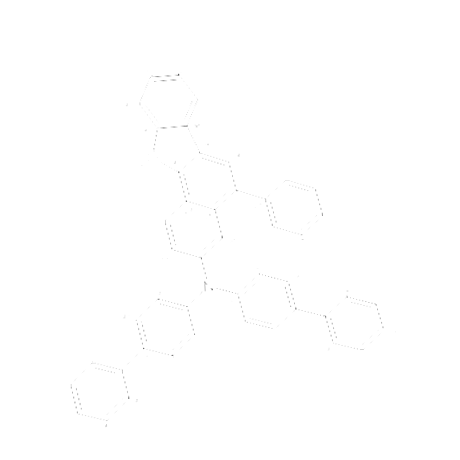 c1ccc(-c2ccc(N(c3ccc(-c4ccccc4)cc3)c3ccc4c(c3)c(-c3ccccc3)cc3c5ccccc5oc43)cc2)cc1